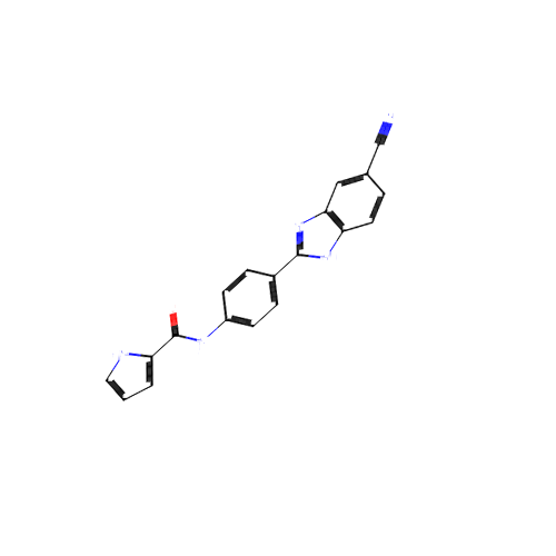 N#Cc1ccc2[nH]c(-c3ccc(NC(=O)c4ccc[nH]4)cc3)nc2c1